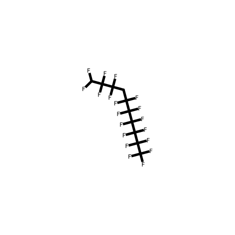 F[C](F)C(F)(F)C(F)(F)CC(F)(F)C(F)(F)C(F)(F)C(F)(F)C(F)(F)C(F)(F)F